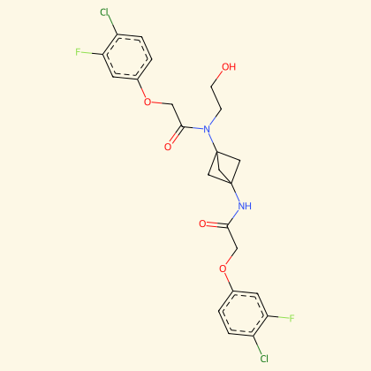 O=C(COc1ccc(Cl)c(F)c1)NC12CC(N(CCO)C(=O)COc3ccc(Cl)c(F)c3)(C1)C2